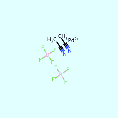 CC#N.CC#N.F[B-](F)(F)F.F[B-](F)(F)F.[Pd+2]